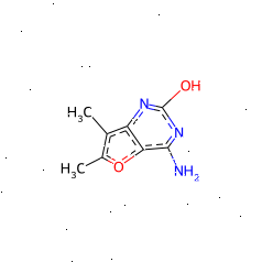 Cc1oc2c(N)nc(O)nc2c1C